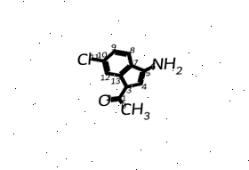 CC(=O)C1C=C(N)c2ccc(Cl)cc21